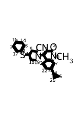 Cn1c(=O)c(C#N)c(N2CCC(Sc3ccccc3)CC2)c2ccc(C3CC3)cc21